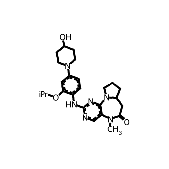 CC(C)Oc1cc(N2CCC(O)CC2)ccc1Nc1ncc2c(n1)N1CCCC1CC(=O)N2C